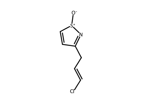 [O-][s+]1ccc(CC=CCl)n1